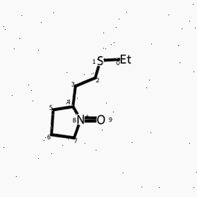 CCSCCC1CCC[N+]1=O